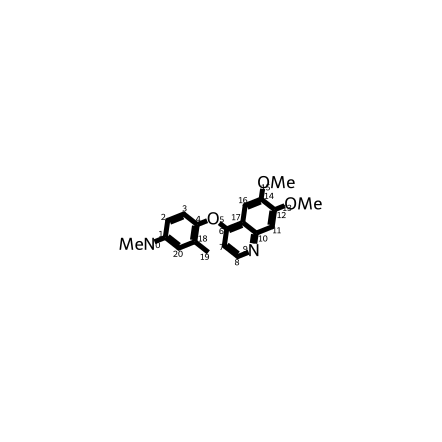 CNc1ccc(Oc2ccnc3cc(OC)c(OC)cc23)c(C)c1